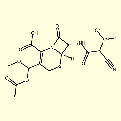 COC(OC(C)=O)C1=C(C(=O)O)N2C(=O)[C@H](NC(=O)C(C#N)[S+](C)[O-])[C@H]2SC1